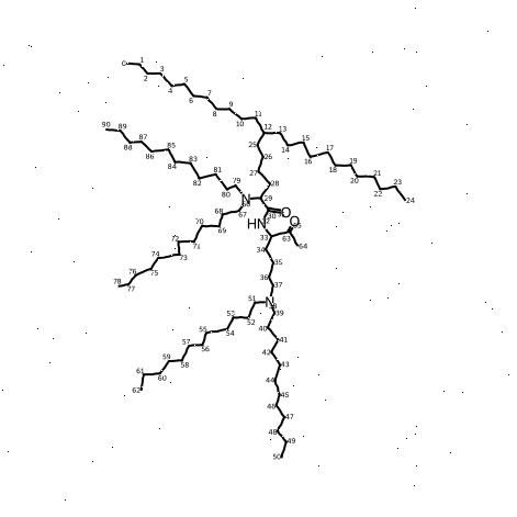 CCCCCCCCCCCCC(CCCCCCCCCCCC)CCCCC(C(=O)NC(CCCCN(CCCCCCCCCCCC)CCCCCCCCCCCC)C(C)=O)N(CCCCCCCCCCCC)CCCCCCCCCCCC